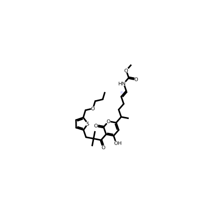 CCCOCc1ccc(CC(C)(C)C(=O)c2c(O)cc(C(C)CC/C=C/NC(=O)OC)oc2=O)s1